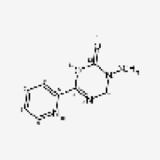 CN1CN=C(c2ccccn2)OC1=O